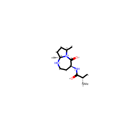 CN[C@@H](C)C(=O)N[C@H]1CCN[C@H]2CCC(C)N2C1=O